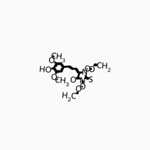 C=COON1C(=O)/C(=C\C=C\c2cc(OC)c(O)c(OC)c2)N(OOC=C)C1=S